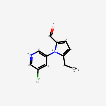 CCc1ccc(C=O)n1-c1cncc(Br)c1